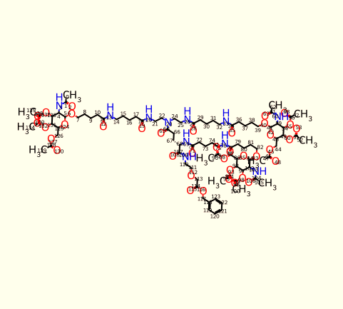 CC(=O)NC1C(OCCCCC(=O)NCCCCC(=O)NCCN(CCNC(=O)CCCCNC(=O)CCCCOC2OC(COC(C)=O)C(OC(C)=O)C(OC(C)=O)C2NC(C)=O)C(=O)CC[C@H](NC(=O)CCCCNC(=O)CCCCOC2OC(COC(C)=O)C(OC(C)=O)C(OC(C)=O)C2NC(C)=O)C(=O)NCCOCC(=O)OCc2ccccc2)OC(COC(C)=O)C(OC(C)=O)C1OC(C)=O